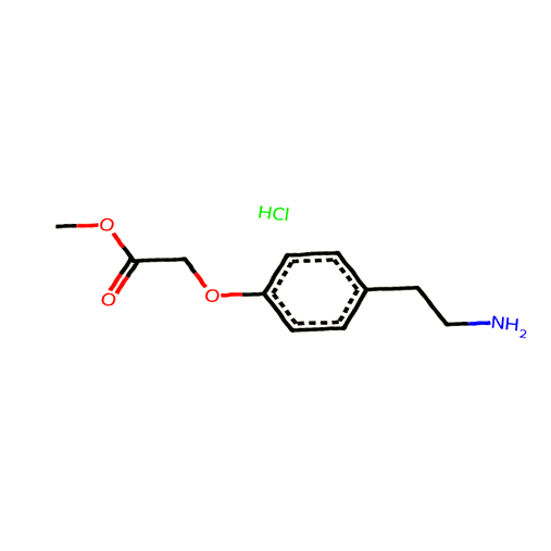 COC(=O)COc1ccc(CCN)cc1.Cl